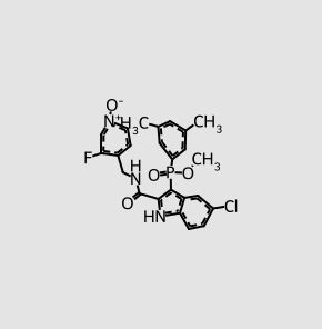 COP(=O)(c1cc(C)cc(C)c1)c1c(C(=O)NCc2cc[n+]([O-])cc2F)[nH]c2ccc(Cl)cc12